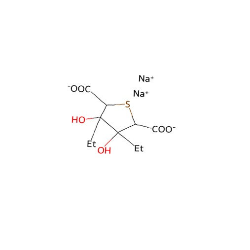 CCC1(O)C(C(=O)[O-])SC(C(=O)[O-])C1(O)CC.[Na+].[Na+]